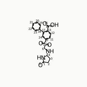 O=C1CC[C@H](NCS(=O)(=O)c2ccc(C(=O)O)c(-c3ccccc3)c2)N1